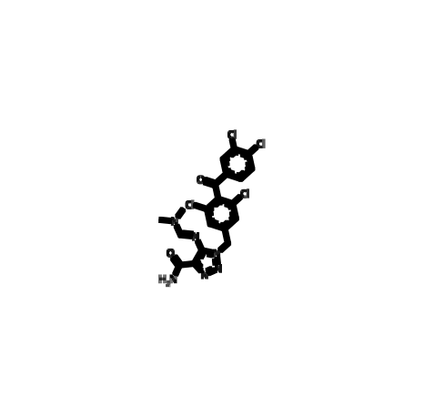 CN(C)/C=N/c1c(C(N)=O)nnn1Cc1cc(Cl)c(C(=O)c2ccc(Cl)c(Cl)c2)c(Cl)c1